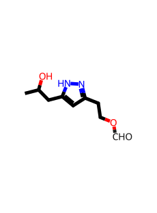 CC(O)Cc1cc(CCOC=O)n[nH]1